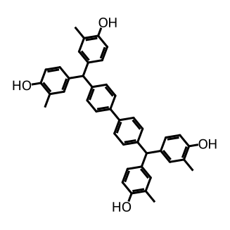 Cc1cc(C(c2ccc(-c3ccc(C(c4ccc(O)c(C)c4)c4ccc(O)c(C)c4)cc3)cc2)c2ccc(O)c(C)c2)ccc1O